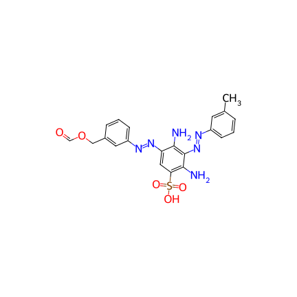 Cc1cccc(/N=N/c2c(N)c(/N=N/c3cccc(COC=O)c3)cc(S(=O)(=O)O)c2N)c1